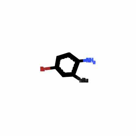 CCCCc1cc(Br)ccc1N